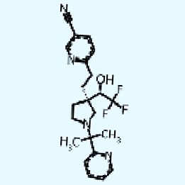 CC(C)(c1ccccn1)N1CC[C@@](CCc2ccc(C#N)cn2)([C@@H](O)C(F)(F)F)C1